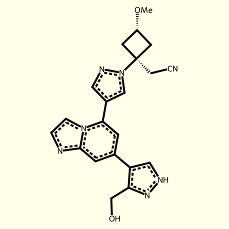 CO[C@H]1C[C@](CC#N)(n2cc(-c3cc(-c4c[nH]nc4CO)cc4nccn34)cn2)C1